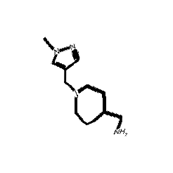 Cn1cc(CN2CCC(CN)CC2)cn1